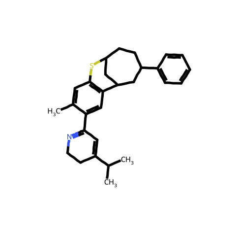 Cc1cc2c(cc1C1=NCCC(C(C)C)=C1)C1CC(CCC(c3ccccc3)C1)S2